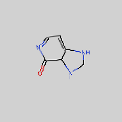 O=C1N=CC=C2NCNC12